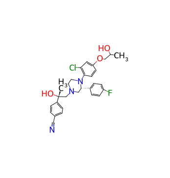 CC(O)COc1ccc(N2CCN(C[C@@](C)(O)c3ccc(C#N)cc3)C[C@H]2c2ccc(F)cc2)c(Cl)c1